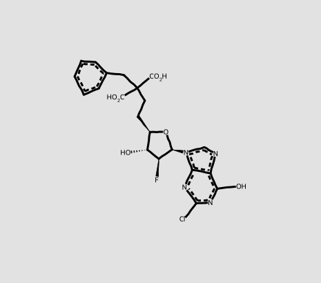 O=C(O)C(CC[C@H]1O[C@@H](n2cnc3c(O)nc(Cl)nc32)[C@@H](F)[C@@H]1O)(Cc1ccccc1)C(=O)O